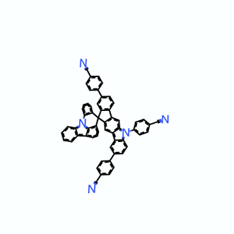 N#Cc1ccc(-c2ccc3c(c2)C2(c4cc5c6cc(-c7ccc(C#N)cc7)ccc6n(-c6ccc(C#N)cc6)c5cc4-3)c3ccccc3-n3c4ccccc4c4cccc2c43)cc1